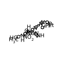 CCOc1ccc(CN2CCN(C3CC4(CCN(c5ccc(C(=O)NS(=O)(=O)c6ccc(NCC7CCC(C)(O)CC7)c([N+](=O)[O-])c6)c(Oc6cnc7[nH]ccc7c6)c5)CC4)C3)C(c3ccccc3C(C)C)C2)cc1